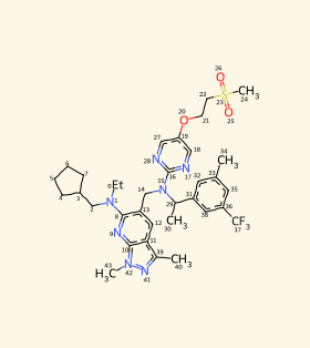 CCN(CC1CCCC1)c1nc2c(cc1CN(c1ncc(OCCS(C)(=O)=O)cn1)C(C)c1cc(C)cc(C(F)(F)F)c1)c(C)nn2C